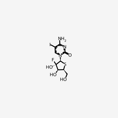 Nc1nc(=O)n([C@H]2S[C@@H](CO)[C@@H](O)[C@@]2(O)F)cc1I